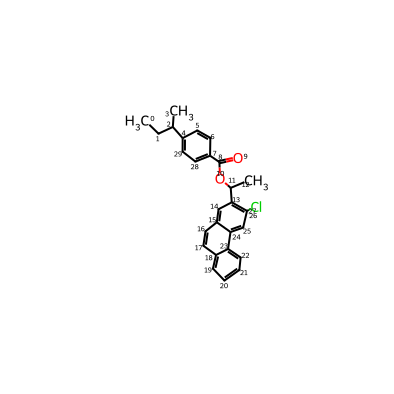 CCC(C)c1ccc(C(=O)OC(C)c2cc3ccc4ccccc4c3cc2Cl)cc1